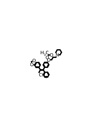 CCC(=C(c1ccccc1)c1ccc(OCC(CN2CCCCC2)OC(C)=O)cc1)c1ccc2c(c1)OCO2